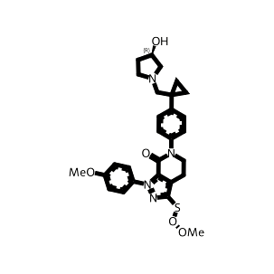 COOSc1nn(-c2ccc(OC)cc2)c2c1CCN(c1ccc(C3(CN4CC[C@@H](O)C4)CC3)cc1)C2=O